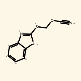 N#COCSc1nc2ccccc2s1